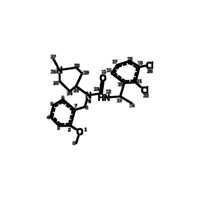 COc1ccccc1CN(C(=O)NC(C)c1cccc(Cl)c1Cl)C1CCN(C)CC1